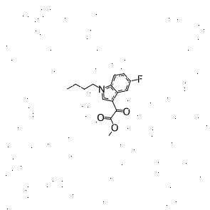 CCCCn1cc(C(=O)C(=O)OC)c2cc(F)ccc21